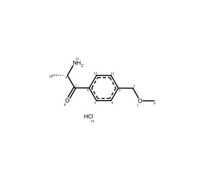 COCc1ccc(C(=O)[C@H](C)N)cc1.Cl